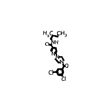 CCC(C)CNC(=O)c1ccc(N2CCN(C(=O)c3cc(Cl)cc(Cl)c3)CC2)nc1